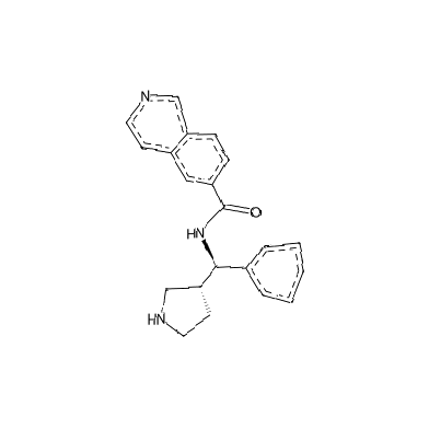 O=C(N[C@@H](c1ccccc1)[C@@H]1CCNC1)c1ccc2cnccc2c1